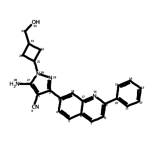 N#Cc1c(-c2ccc3ccc(-c4ccccc4)nc3c2)nn(C2CC(CO)C2)c1N